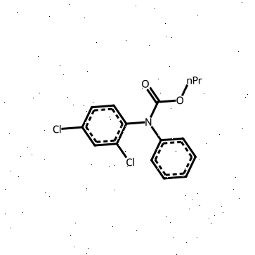 [CH2]CCOC(=O)N(c1ccccc1)c1ccc(Cl)cc1Cl